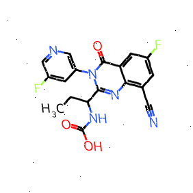 CCC(NC(=O)O)c1nc2c(C#N)cc(F)cc2c(=O)n1-c1cncc(F)c1